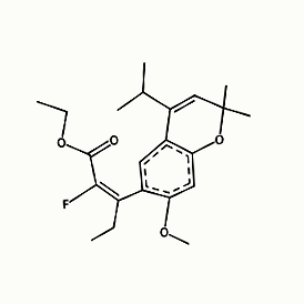 CCOC(=O)/C(F)=C(/CC)c1cc2c(cc1OC)OC(C)(C)C=C2C(C)C